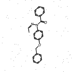 C/C=N\N(C(=O)c1ccccc1)c1ccc(OCc2ccccc2)cc1